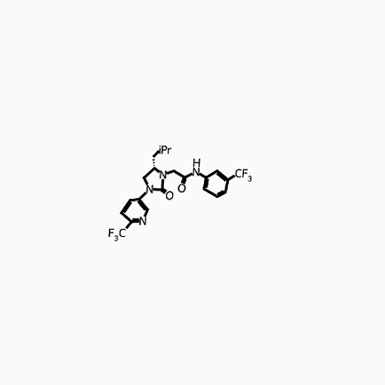 CC(C)C[C@H]1CN(c2ccc(C(F)(F)F)nc2)C(=O)N1CC(=O)Nc1cccc(C(F)(F)F)c1